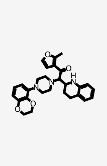 Cc1occc1C(=O)C(C1CCc2ccccc2N1)N1CCN(c2cccc3c2OCCO3)CC1